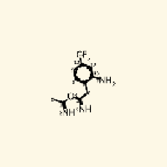 CC(=N)OC(=N)Cc1ccc(C(F)(F)F)cc1N